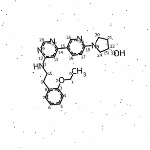 CCOc1ccccc1CCNc1cc(-c2ccc(N3CC[C@H](O)C3)nc2)ncn1